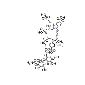 CC1(C)/C(=C/C=C/C=C/C2=[N+](CCCCS(=O)(=O)O)C(C)(CCCCS(=O)(=O)O)c3cc(S(=O)(=O)O)ccc32)N(CCCCCC(=O)NCCOCCO[C@H]2O[C@@H](CO)[C@@H](O)[C@H](O)[C@@H]2O[C@H]2O[C@H](CO)[C@@H](O)[C@@H](OC(N)=O)[C@@H]2O)c2ccc(S(=O)(=O)O)cc21